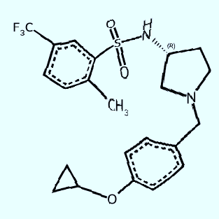 Cc1ccc(C(F)(F)F)cc1S(=O)(=O)N[C@@H]1CCN(Cc2ccc(OC3CC3)cc2)C1